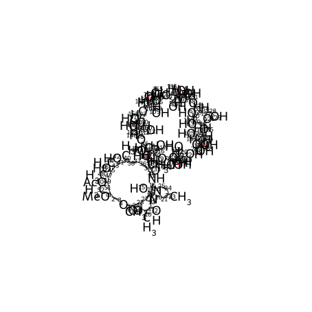 CO[C@H]1/C=C/O[C@@]2(C)Oc3c(C)c(O)c4c(O)c(c5c(nc6cc(C)ccn65)c4c3C2=O)NC(=O)/C(C)=C\C=C\[C@H](C)[C@H](O)[C@@H](C)[C@@H](O)[C@@H](C)[C@H](OC(C)=O)[C@@H]1C.OC[C@H]1O[C@@H]2O[C@H]3[C@H](O)[C@@H](O)[C@@H](O[C@H]4[C@H](O)[C@@H](O)[C@@H](O[C@H]5[C@H](O)[C@@H](O)[C@@H](O[C@H]6[C@H](O)[C@@H](O)[C@@H](O[C@H]7[C@H](O)[C@@H](O)[C@@H](O[C@H]8[C@H](O)[C@@H](O)[C@@H](O[C@H]1[C@H](O)[C@H]2O)O[C@@H]8CO)O[C@@H]7CO)O[C@@H]6CO)O[C@@H]5CO)O[C@@H]4CO)O[C@@H]3CO